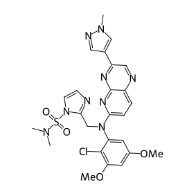 COc1cc(OC)c(Cl)c(N(Cc2nccn2S(=O)(=O)N(C)C)c2ccc3ncc(-c4cnn(C)c4)nc3n2)c1